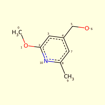 COc1cc(C[O])cc(C)n1